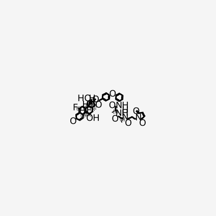 C[C@H](NC(=O)CCN1C(=O)C=CC1=O)C(=O)N[C@@H](C)C(=O)Nc1cccc(Oc2ccc(C3O[C@@H]4C[C@H]5[C@@H]6C[C@H](F)C7=CC(=O)C=C[C@]7(C)[C@@]6(F)[C@@H](O)C[C@]5(C)[C@]4(C(=O)CO)O3)cc2)c1